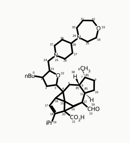 CCCCC1CC(C23C[C@@H]4[C@H](C)CC[C@H]4C4(C=O)CC25C3C=C(C(C)C)C45C(=O)O)OC1CN1CCC(N2CCCOCC2)CC1